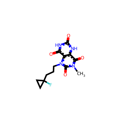 Cn1c(=O)c2[nH]c(=O)[nH]c(=O)c2n(CCCC2(F)CC2)c1=O